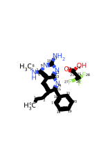 CCCc1cc2c(NC)nc(N)nc2nc1-c1ccccc1.O=C(O)C(F)(F)F